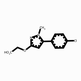 Cn1nc(OCC(=O)O)cc1-c1ccc(Cl)cc1